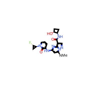 CNc1cc(Nc2cccn([C@H]3C[C@@H]3F)c2=O)nc2c(C(=O)N[C@@H]3CC[C@H]3O)cnn12